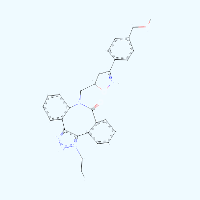 CCCn1nnc2c1-c1ccccc1C(=O)N(CC1CC(c3ccc(COC)cc3)=NO1)c1ccccc1-2